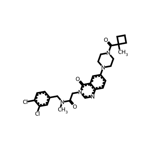 CN(Cc1ccc(Cl)c(Cl)c1)C(=O)Cn1cnc2ccc(N3CCN(C(=O)C4(C)CCC4)CC3)cc2c1=O